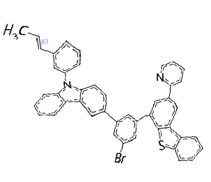 C/C=C/c1cccc(-n2c3ccccc3c3cc(-c4cc(Br)cc(-c5cc(-c6ccccn6)cc6c5sc5ccccc56)c4)ccc32)c1